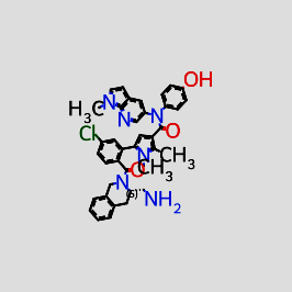 Cc1c(C(=O)N(c2ccc(O)cc2)c2cnc3c(ccn3C)c2)cc(-c2cc(Cl)ccc2C(=O)N2Cc3ccccc3C[C@H]2CN)n1C